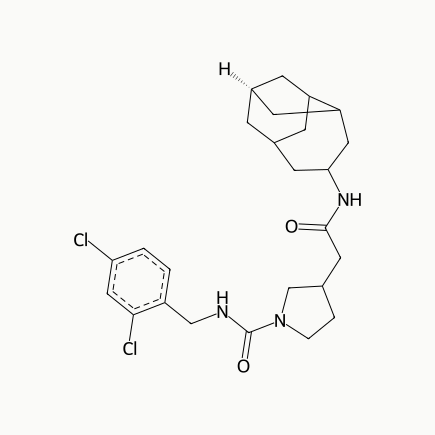 O=C(CC1CCN(C(=O)NCc2ccc(Cl)cc2Cl)C1)NC1CC2CC3C[C@H](C2)CC3C1